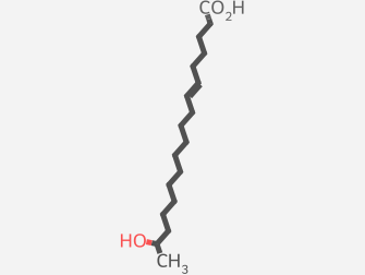 CC(O)CCCCCCCCCC=CCCCCC(=O)O